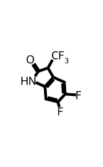 O=C1Nc2cc(F)c(F)cc2C1C(F)(F)F